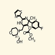 COC(=O)OC1=C(CN2CCOC[C@H]2CO)NC(c2nccs2)=NC1(C)c1ccc(F)cc1